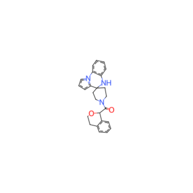 O=C(C1OCCc2ccccc21)N1CCC2(CC1)Nc1ccccc1-n1cccc12